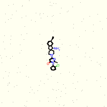 C#Cc1ccc2c(c1)[C@@H](N)C1(CCN(c3cc(=O)n(-c4ccccc4Cl)c(C)n3)CC1)C2